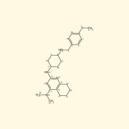 CSc1ccc(CNC2CCC(Nc3nc4c(c(N(C)C)n3)CCCC4)CC2)cc1